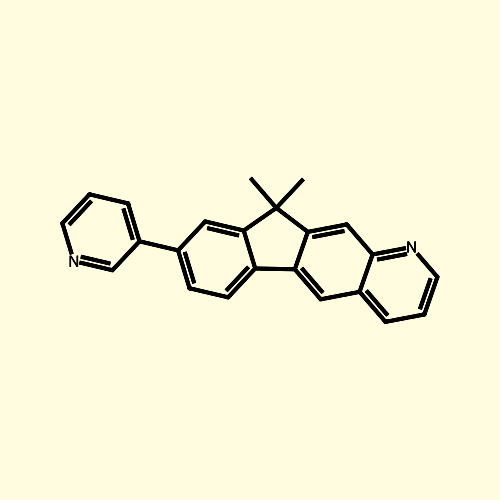 CC1(C)c2cc(-c3cccnc3)ccc2-c2cc3cccnc3cc21